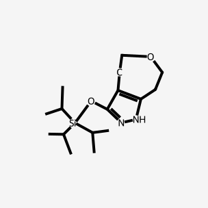 CC(C)[Si](Oc1n[nH]c2c1CCOCC2)(C(C)C)C(C)C